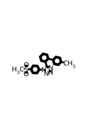 Cc1ccc(-c2ccccc2-c2nnnn2-c2ccc(S(C)(=O)=O)cc2)cc1